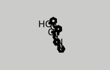 O=C1c2c(cccc2OC2CCCCC2O)CN1Cc1ccc(N2CCCCC2)nc1